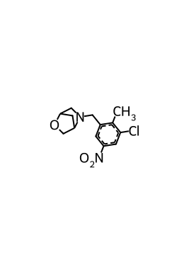 Cc1c(Cl)cc([N+](=O)[O-])cc1CN1CC2CC1CO2